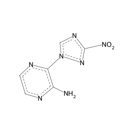 Nc1nccnc1-n1cnc([N+](=O)[O-])n1